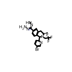 C[C@@H]1Cc2cc(/C(N=N)=N/N)ccc2C(c2ccc(Br)cn2)N1CC(F)(F)F